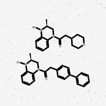 CC(=O)N1c2ccccc2N(C(=O)CC2CCOCC2)C[C@@H]1C.CC(=O)N1c2ccccc2N(C(=O)Cc2ccc(-c3ccccc3)cc2)C[C@@H]1C